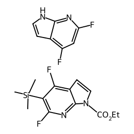 CCOC(=O)n1ccc2c(F)c([Si](C)(C)C)c(F)nc21.Fc1cc(F)c2cc[nH]c2n1